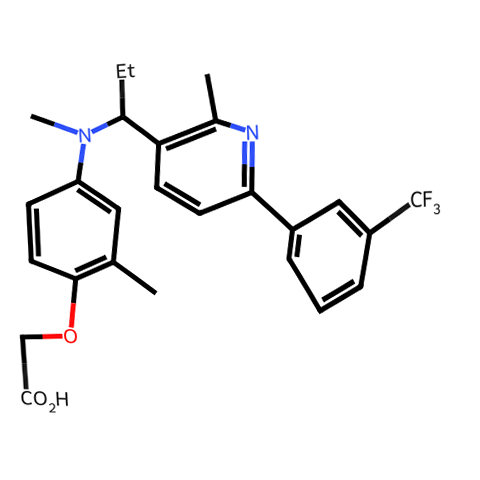 CCC(c1ccc(-c2cccc(C(F)(F)F)c2)nc1C)N(C)c1ccc(OCC(=O)O)c(C)c1